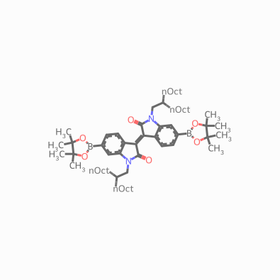 CCCCCCCCC(CCCCCCCC)CN1C(=O)C(=C2C(=O)N(CC(CCCCCCCC)CCCCCCCC)c3cc(B4OC(C)(C)C(C)(C)O4)ccc32)c2ccc(B3OC(C)(C)C(C)(C)O3)cc21